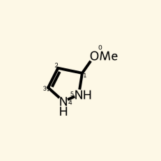 COC1C=[C]NN1